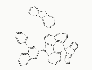 c1ccc(-c2nc(-n3c4cccc5c4c4c6c(cccc6c(-c6ccc7c(c6)-c6ccccc6C7)cc43)C53c4ccccc4-c4ccccc43)nc3ccccc23)cc1